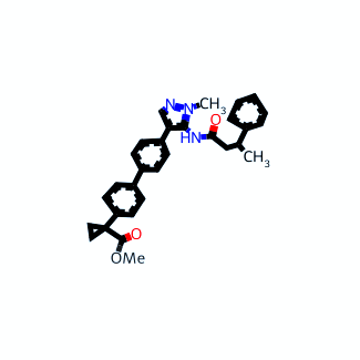 COC(=O)C1(c2ccc(-c3ccc(-c4cnn(C)c4NC(=O)CC(C)c4ccccc4)cc3)cc2)CC1